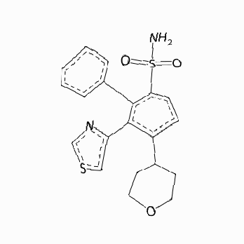 NS(=O)(=O)c1ccc(C2CCOCC2)c(-c2cscn2)c1-c1ccccc1